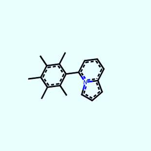 Cc1c(C)c(C)c(-c2cccc3cccn23)c(C)c1C